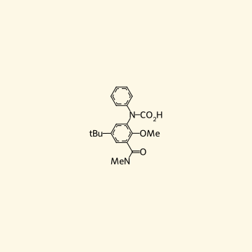 CNC(=O)c1cc(C(C)(C)C)cc(N(C(=O)O)c2ccccc2)c1OC